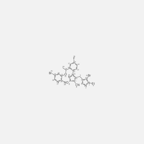 CCn1ncc(Cc2c(C#N)cnn2-c2ccc(F)cc2C(C)Oc2cc(Br)cnc2[N+](=O)[O-])c1Br